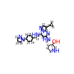 O[C@H]1CNCC[C@@H]1CNc1cc(NCc2ccc(-n3cccn3)cc2)n2ncc(C3CC3)c2n1